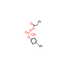 CC(C)CC(=O)OOP(=O)(O)Oc1ccc(C(C)C)cc1